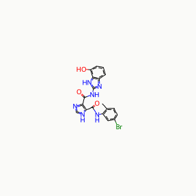 Cc1ccc(Br)cc1NC(=O)c1[nH]cnc1C(=O)Nc1nc2cccc(O)c2[nH]1